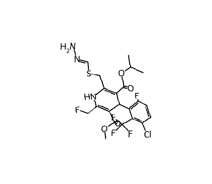 COC(=O)C1=C(CF)NC(CSC=NN)=C(C(=O)OC(C)C)C1c1c(F)ccc(Cl)c1C(F)(F)F